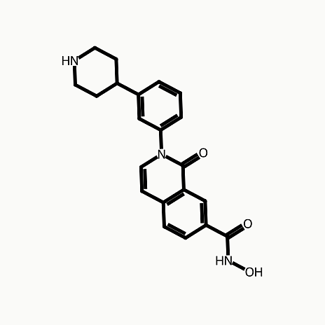 O=C(NO)c1ccc2ccn(-c3cccc(C4CCNCC4)c3)c(=O)c2c1